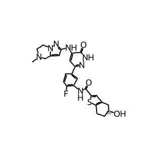 CN1CCn2nc(Nc3cc(-c4ccc(F)c(NC(=O)c5cc6c(s5)CC[C@H](O)C6)c4)n[nH]c3=O)cc2C1